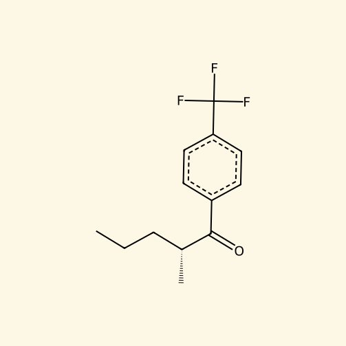 CCC[C@@H](C)C(=O)c1ccc(C(F)(F)F)cc1